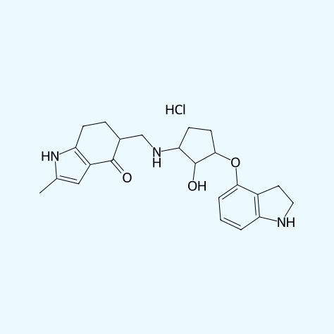 Cc1cc2c([nH]1)CCC(CNC1CCC(Oc3cccc4c3CCN4)C1O)C2=O.Cl